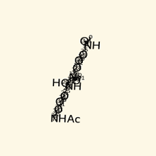 C=CC(=O)NCCCOCCOCCOCCCN(CCC(O)NCCCOCCOCCOCCCNC(C)=O)C(=O)C=C